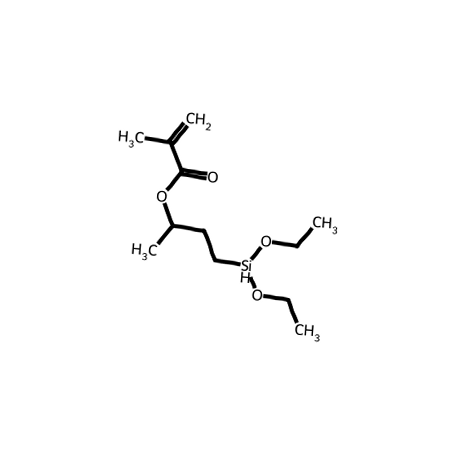 C=C(C)C(=O)OC(C)CC[SiH](OCC)OCC